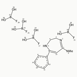 CNC1=NCCNC(c2ccccc2)=C1.OB(O)F.OB(O)F.OB(O)F.OB(O)F